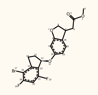 COC(=O)CC1COc2cc(O[C@@H]3CCc4c(Br)c(F)cc(F)c43)ccc21